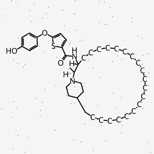 C[C@H]1[C@H](NC(=O)c2ccc(Oc3ccc(O)cc3)s2)CCCCCCCCCCCCCCCCCCCCC2CCN1CC2